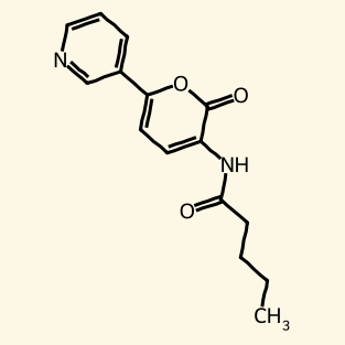 CCCCC(=O)Nc1ccc(-c2cccnc2)oc1=O